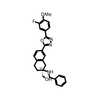 COc1ccc(-c2nnc(-c3ccc4c(c3)C[C@@](CO)(NCc3ccccc3)CC4)o2)cc1F